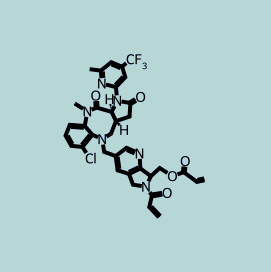 C=CC(=O)OCC1c2ncc(CN3C[C@H]4CC(=O)N(c5cc(C(F)(F)F)cc(C)n5)[C@@H]4C(=O)N(C)c4cccc(Cl)c43)cc2CN1C(=O)C=C